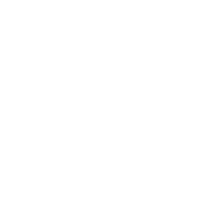 CC(=O)c1cc(C(C)C)c(C)cc1OCc1ccccc1